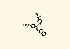 Cc1cc2ccccc2nc1N(Cc1ccc(C(F)(F)C2CC2)cc1)S(=O)(=O)c1ccc(C(=O)O)cc1